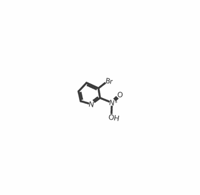 O=[N+](O)c1ncccc1Br